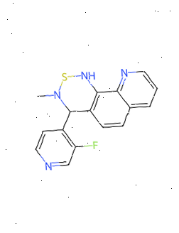 CN1SNc2c(ccc3cccnc23)C1c1ccncc1F